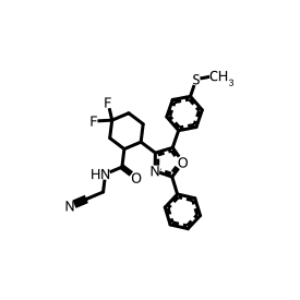 CSc1ccc(-c2oc(-c3ccccc3)nc2C2CCC(F)(F)CC2C(=O)NCC#N)cc1